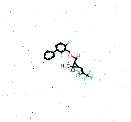 CC1(C)C(/C=C(\Cl)C(F)(F)F)C1C(=O)OCc1c(F)ccc(-c2ccccc2)c1F